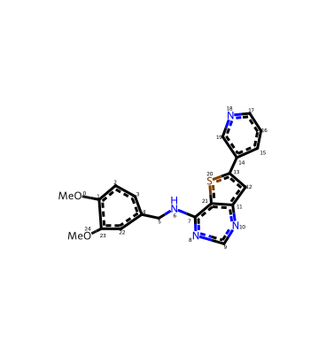 COc1ccc(CNc2ncnc3cc(-c4cccnc4)sc23)cc1OC